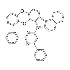 c1ccc(-c2cc(-n3c4ccc5ccccc5c4c4ccc5c(c43)Oc3ccccc3O5)nc(-c3ccccc3)n2)cc1